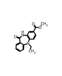 CCN1c2ccc(C(=O)OC)cc2NC(=O)c2ccccc21